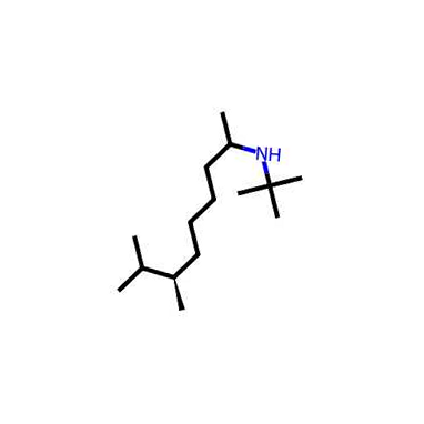 CC(CCCC[C@@H](C)C(C)C)NC(C)(C)C